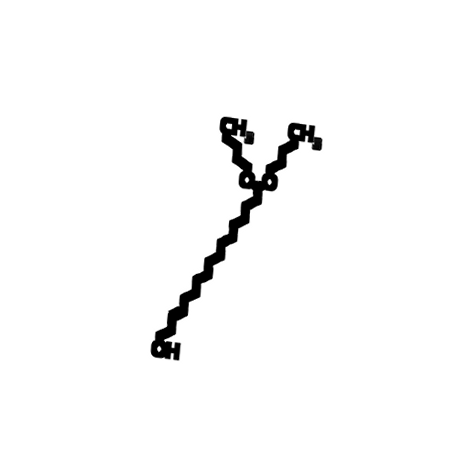 CCCCCOC(CCCCCCCCCCCC/C=C/CCO)OCCCCC